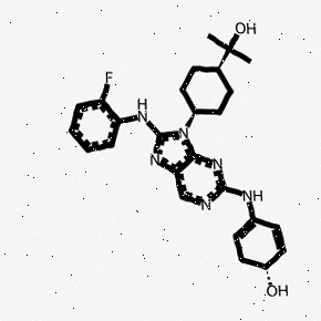 CC(C)(O)[C@H]1CC[C@@H](n2c(Nc3ccccc3F)nc3cnc(NC4=CC[C@@H](O)C=C4)nc32)CC1